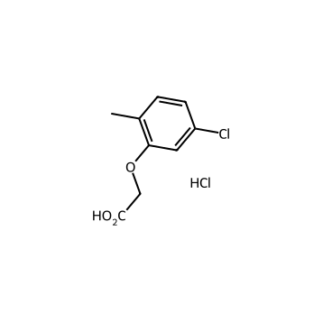 Cc1ccc(Cl)cc1OCC(=O)O.Cl